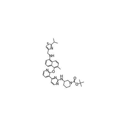 Cc1ccc2c(NCc3csc(C(C)C)n3)cccc2c1Oc1ncccc1-c1ccnc(NC2CCCN(C(=O)OC(C)(C)C)C2)n1